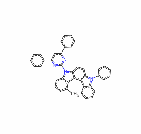 Cc1cccc2c1c1c3c4ccccc4n(-c4ccccc4)c3ccc1n2-c1nc(-c2ccccc2)cc(-c2ccccc2)n1